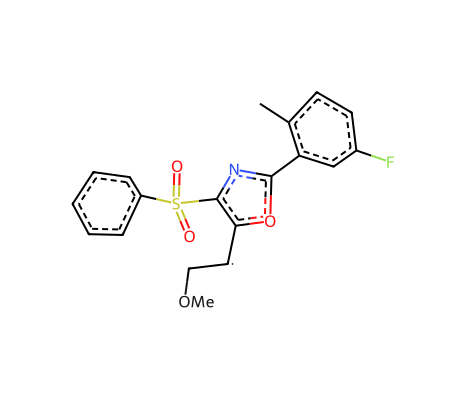 COC[CH]c1oc(-c2cc(F)ccc2C)nc1S(=O)(=O)c1ccccc1